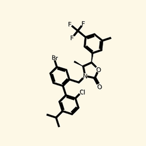 Cc1cc([C@H]2OC(=O)N(Cc3cc(Br)ccc3-c3cc(C(C)C)ccc3Cl)[C@H]2C)cc(C(F)(F)F)c1